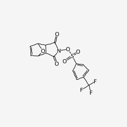 O=C1C2C3C=CC(O3)C2C(=O)N1OS(=O)(=O)c1ccc(C(F)(F)F)cc1